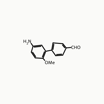 COc1ccc(N)cc1-c1ccc(C=O)cc1